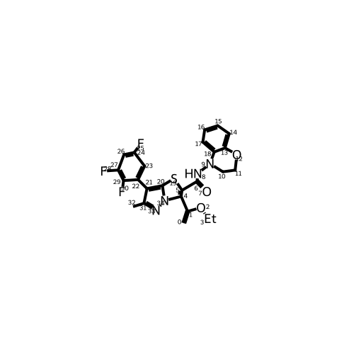 C=C(OCC)c1c(C(=O)NN2CCOc3ccccc32)sc2c(-c3cc(F)cc(F)c3F)c(C)nn12